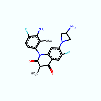 COc1c(N2C(=O)C(C(=O)O)C(=O)c3cc(F)c(N4CC(N)C4)cc32)ccc(F)c1N